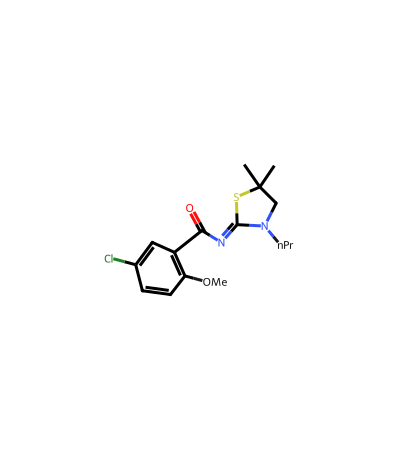 CCCN1CC(C)(C)SC1=NC(=O)c1cc(Cl)ccc1OC